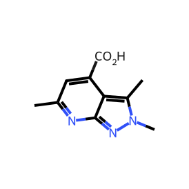 Cc1cc(C(=O)O)c2c(C)n(C)nc2n1